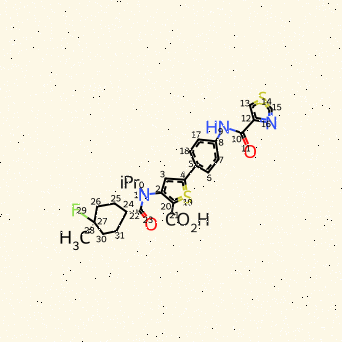 CC(C)N(c1cc(-c2ccc(NC(=O)c3cscn3)cc2)sc1C(=O)O)C(=O)[C@H]1CC[C@](C)(F)CC1